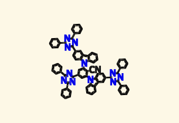 N#Cc1c(-n2c3ccccc3c3cc(-c4nc(-c5ccccc5)nc(-c5ccccc5)n4)ccc32)cc(-c2nc(-c3ccccc3)nc(-c3ccccc3)n2)cc1-n1c2ccccc2c2cc(-c3nc(-c4ccccc4)nc(-c4ccccc4)n3)ccc21